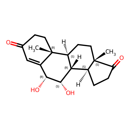 C[C@]12CCC(=O)C=C1[C@@H](O)[C@@H](O)[C@@H]1[C@@H]2CC[C@]2(C)C(=O)CC[C@@H]12